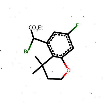 CCOC(=O)C(Br)c1cc(F)cc2c1C(C)(C)CCO2